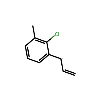 C=C[CH]c1cccc(C)c1Cl